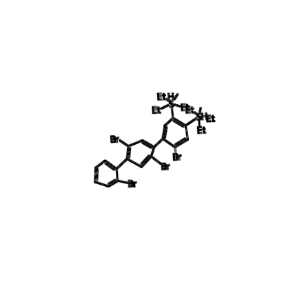 CC[SH](C)(CC)(CC)c1cc(Br)c(-c2cc(Br)c(-c3ccccc3Br)cc2Br)cc1[SH](C)(CC)(CC)CC